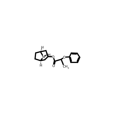 CC(Oc1ccccc1)C(=O)OC1C[C@H]2CC[C@@H](C1)N2C